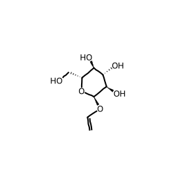 C=CO[C@H]1O[C@H](CO)[C@@H](O)[C@H](O)[C@H]1O